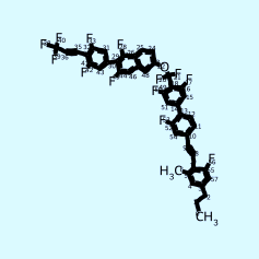 CCCc1cc(C)c(C#Cc2ccc(-c3cc(F)c(C(F)(F)Oc4ccc5c(F)c(-c6cc(F)c(C#CC(F)(F)F)c(F)c6)c(F)cc5c4)c(F)c3)c(F)c2)c(F)c1